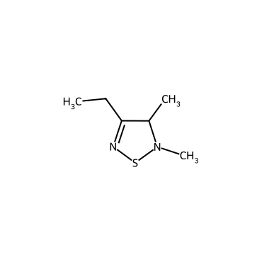 CCC1=NSN(C)C1C